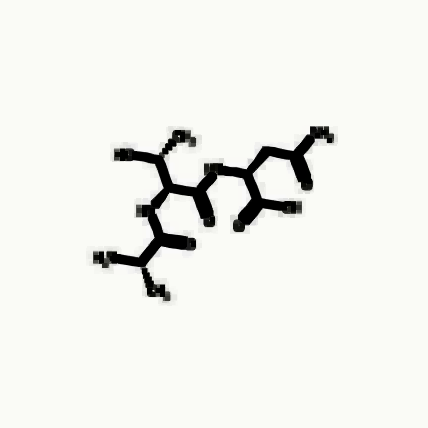 C[C@H](N)C(=O)N[C@H](C(=O)N[C@@H](CC(N)=O)C(=O)O)[C@@H](C)O